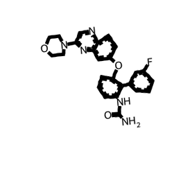 NC(=O)Nc1cccc(Oc2ccc3ncc(N4CCOCC4)nc3c2)c1-c1cccc(F)c1